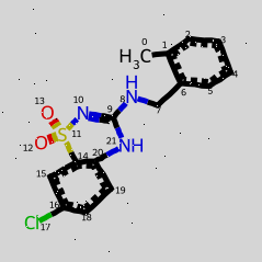 Cc1ccccc1CNC1=NS(=O)(=O)c2cc(Cl)ccc2N1